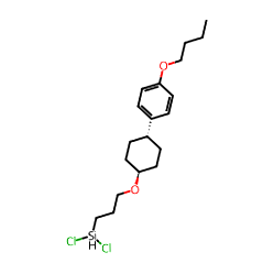 CCCCOc1ccc([C@H]2CC[C@H](OCCC[SiH](Cl)Cl)CC2)cc1